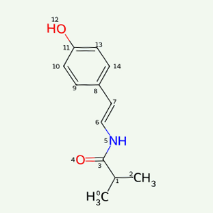 CC(C)C(=O)NC=Cc1ccc(O)cc1